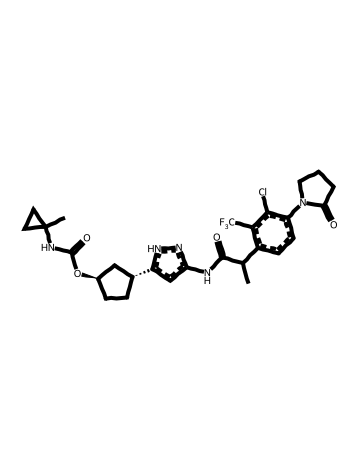 CC(C(=O)Nc1cc([C@@H]2CC[C@@H](OC(=O)NC3(C)CC3)C2)[nH]n1)c1ccc(N2CCCC2=O)c(Cl)c1C(F)(F)F